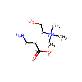 C[N+](C)(C)CCO.NCCC(=O)[O-]